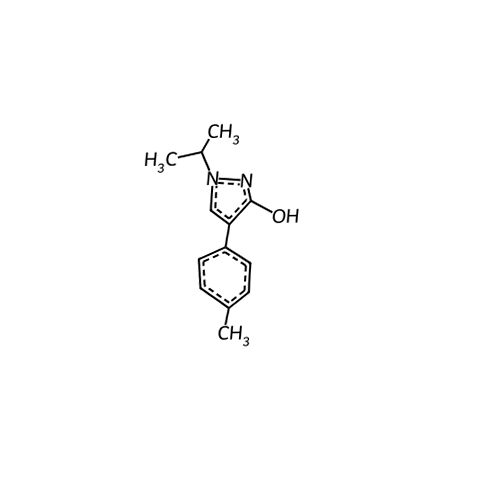 Cc1ccc(-c2cn(C(C)C)nc2O)cc1